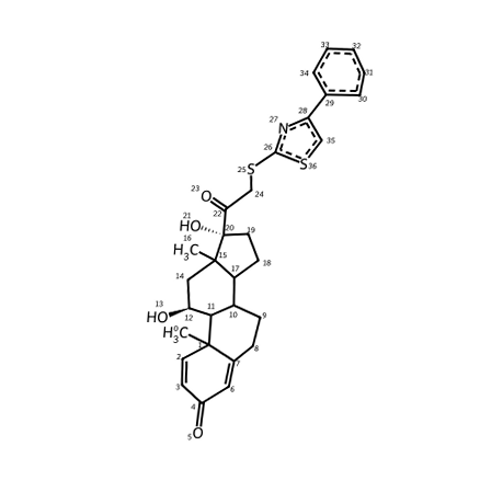 CC12C=CC(=O)C=C1CCC1C2[C@@H](O)CC2(C)C1CC[C@]2(O)C(=O)CSc1nc(-c2ccccc2)cs1